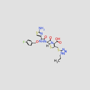 C=CCn1nnnc1SCC1=C(C(=O)O)N2C(=O)C(NC(=O)C(=NOCc3ccc(F)cc3)c3csc(N)n3)[C@@H]2SC1